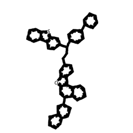 c1ccc(-c2ccc(C(CCc3ccc4c(c3)oc3cc(-c5ccc6ccccc6c5)c5ccccc5c34)c3ccc4c(c3)sc3ccccc34)cc2)cc1